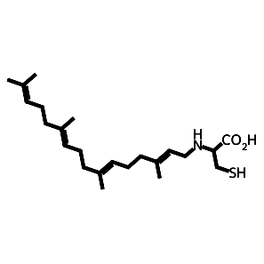 CC(C)=CCC/C(C)=C/CCC(C)=CCC/C(C)=C/CNC(CS)C(=O)O